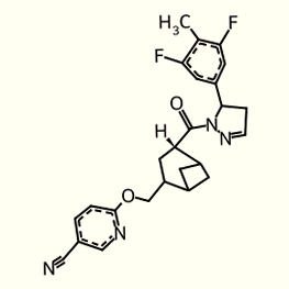 Cc1c(F)cc(C2CC=NN2C(=O)[C@H]2CC(COc3ccc(C#N)cn3)C3CC2C3)cc1F